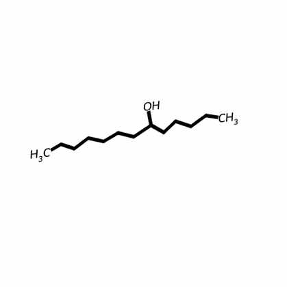 CCCCCCCC(O)CCCCC